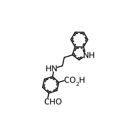 O=Cc1ccc(NCCc2c[nH]c3ccccc23)c(C(=O)O)c1